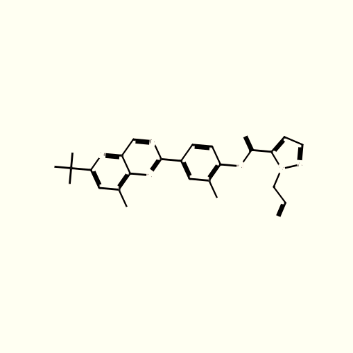 Cc1cc(-c2ncc3nc(C(F)(F)F)cc(C)c3n2)ccc1NC(=O)c1ccnn1CC=O